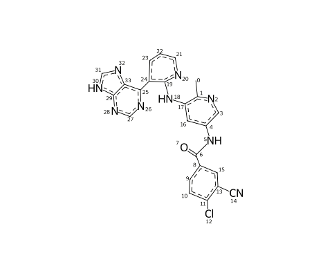 Cc1ncc(NC(=O)c2ccc(Cl)c(C#N)c2)cc1Nc1ncccc1-c1ncnc2[nH]cnc12